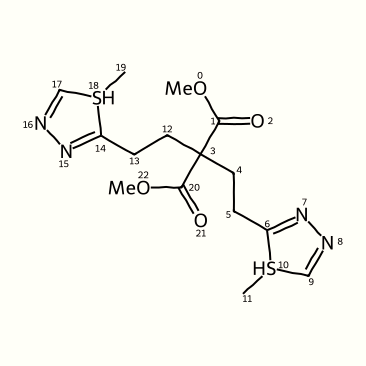 COC(=O)C(CCC1=NN=C[SH]1C)(CCC1=NN=C[SH]1C)C(=O)OC